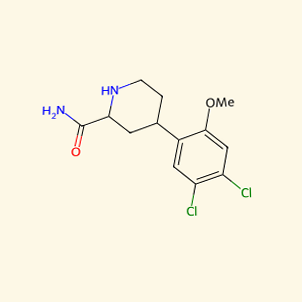 COc1cc(Cl)c(Cl)cc1C1CCNC(C(N)=O)C1